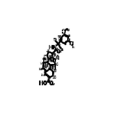 COc1cc(OC)cc(C(C)(C)NC(=O)C2CC[C@H]3[C@@H]4CC=C5C=C(C(=O)O)CC[C@]5(C)[C@H]4CC[C@]23C)c1